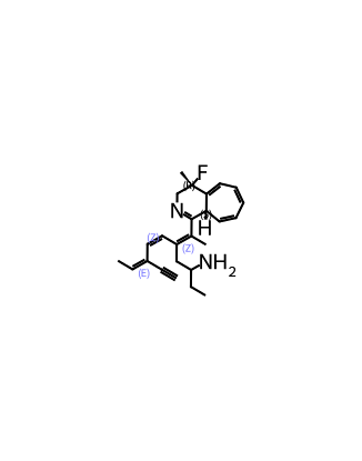 C#CC(/C=C\C(CC(N)CC)=C(\C)C1=NC[C@](C)(F)C2=CC=CC=C[C@@H]21)=C/C